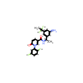 C[C@@H](NC(=O)c1ccc(=O)n(-c2cc(F)ccc2F)c1)c1cc(N)cc(C(C)(F)F)c1